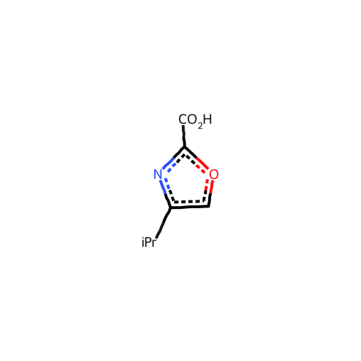 CC(C)c1coc(C(=O)O)n1